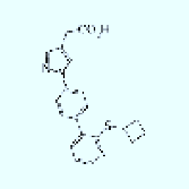 O=C(O)Cc1cnn(-c2ccc(-c3cccnc3SC3CCC3)cc2)c1